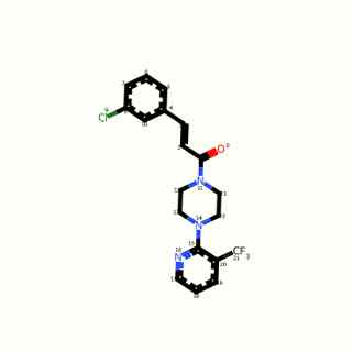 O=C(C=Cc1cccc(Cl)c1)N1CCN(c2ncccc2C(F)(F)F)CC1